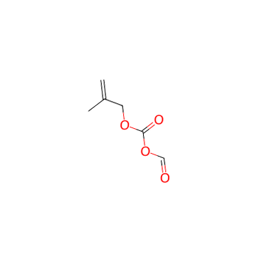 C=C(C)COC(=O)OC=O